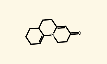 O=C1C=C2CCC3CCCC=C3N2CC1